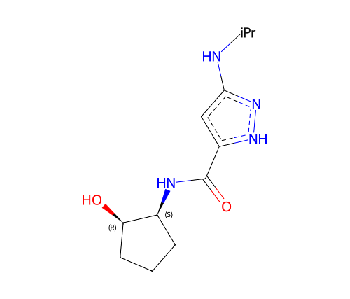 CC(C)Nc1cc(C(=O)N[C@H]2CCC[C@H]2O)[nH]n1